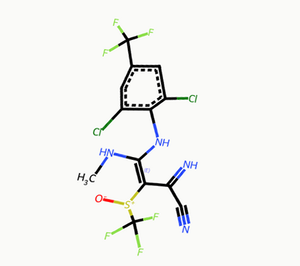 CN/C(Nc1c(Cl)cc(C(F)(F)F)cc1Cl)=C(/C(=N)C#N)[S+]([O-])C(F)(F)F